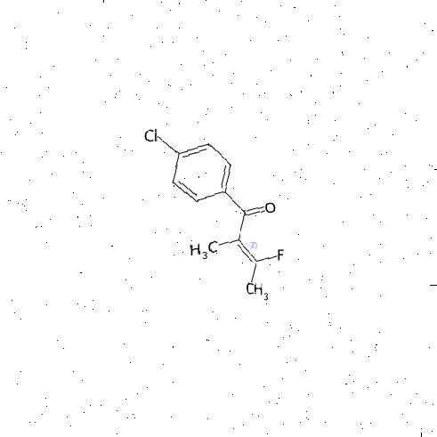 C/C(F)=C(\C)C(=O)c1ccc(Cl)cc1